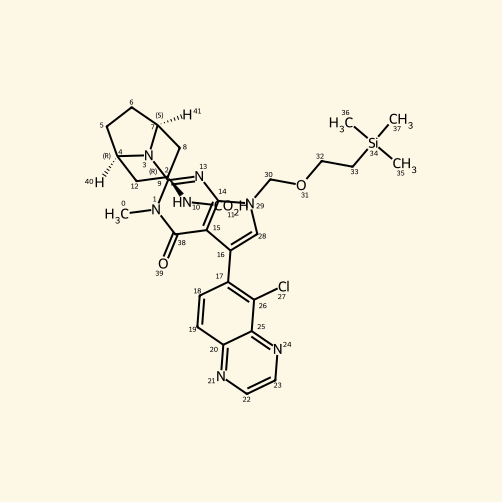 Cn1c(N2[C@@H]3CC[C@H]2C[C@@H](NC(=O)O)C3)nc2c(c(-c3ccc4nccnc4c3Cl)cn2COCC[Si](C)(C)C)c1=O